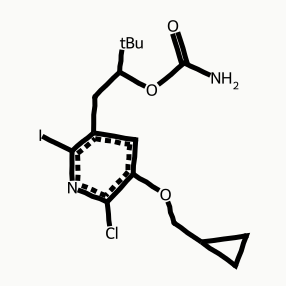 CC(C)(C)C(Cc1cc(OCC2CC2)c(Cl)nc1I)OC(N)=O